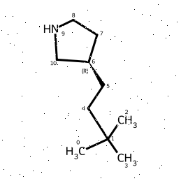 CC(C)(C)CC[C@@H]1CCNC1